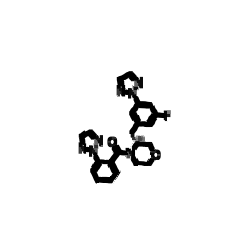 O=C(c1ccccc1-n1nccn1)N1CCOC[C@H]1Cc1cc(F)cc(-n2nccn2)c1